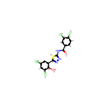 O=C(Nc1nnc(-c2cc(Cl)cc(Cl)c2O)s1)c1ccc(Cl)c(Cl)c1